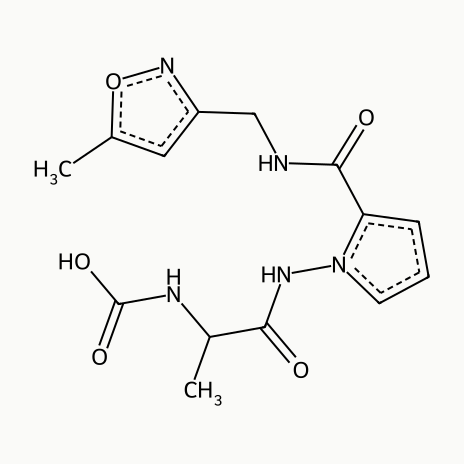 Cc1cc(CNC(=O)c2cccn2NC(=O)C(C)NC(=O)O)no1